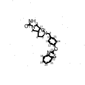 NC(=O)N1CC2CCN(Cc3ccc(Oc4nc5ccccc5s4)cc3)CC2C1